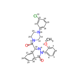 COc1ccccc1-n1nc(C(=O)N2CCN(c3cccc(Cl)c3)CC2)c2ccccc2c1=O